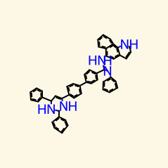 C1=Cc2cc(NC(Nc3ccccc3)c3ccc(-c4ccc(C5=CC(c6ccccc6)NC(c6ccccc6)N5)cc4)cc3)c3ccccc3c2NC1